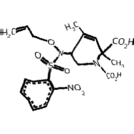 C=CCON(C1CN(C(=O)O)C(C)(C(=O)O)C=C1C)S(=O)(=O)c1ccccc1[N+](=O)[O-]